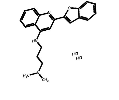 CN(C)CCCNc1cc(-c2cc3ccccc3o2)nc2ccccc12.Cl.Cl